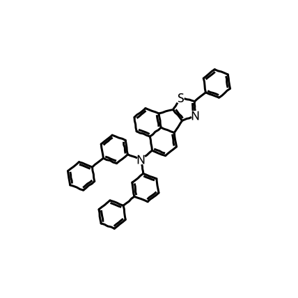 c1ccc(-c2cccc(N(c3cccc(-c4ccccc4)c3)c3ccc4c5c(cccc35)-c3sc(-c5ccccc5)nc3-4)c2)cc1